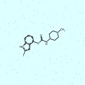 CN1CCC(NC(=O)Oc2cccc3[nH]c(I)cc23)CC1